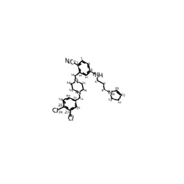 N#Cc1ccc(NCCCN2C=CCC2)cc1CN1CCN(Cc2ccc(Cl)c(Cl)c2)CC1